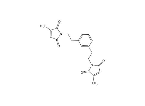 CC1=CC(=O)N(CCc2cccc(CCN3C(=O)C=C(C)C3=O)c2)C1=O